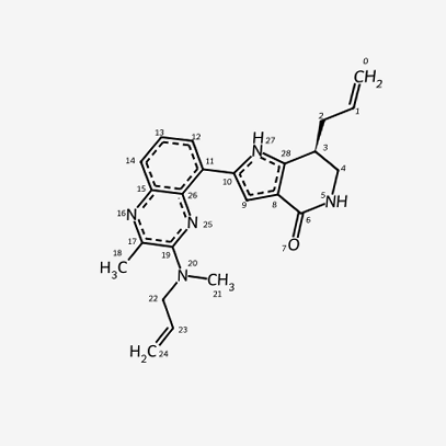 C=CC[C@H]1CNC(=O)c2cc(-c3cccc4nc(C)c(N(C)CC=C)nc34)[nH]c21